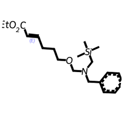 CCOC(=O)/C=C/CCCOCN(Cc1ccccc1)C[Si](C)(C)C